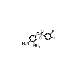 Nc1ccc(OS(=O)(=O)c2ccc(F)c(F)c2)cc1N